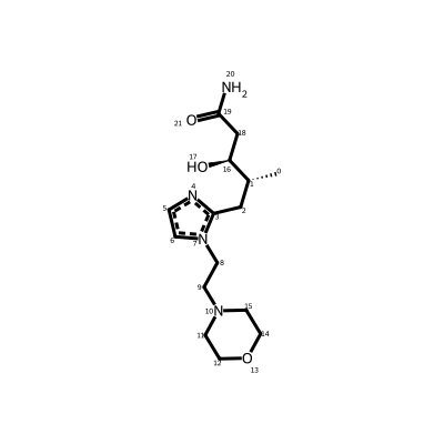 C[C@H](Cc1nccn1CCN1CCOCC1)[C@@H](O)CC(N)=O